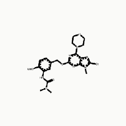 CCc1nc2c(N3CCOCC3)nc(SCc3ccc(OC)c(NC(=S)N(C)C)c3)nc2n1C